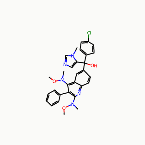 CON(C)c1nc2ccc(C(O)(c3ccc(Cl)cc3)c3cncn3C)cc2c(N(C)OC)c1-c1ccccc1